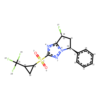 O=S(=O)(c1nc2n(n1)[C@H](c1ccccc1)C[C@@H]2F)C1CC1C(F)(F)F